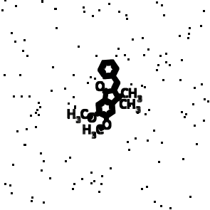 COc1cc2c(cc1OC)C(C)(C)C(=Cc1ccccc1)C2=O